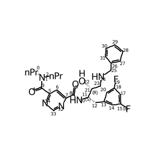 CCCN(CCC)C(=O)c1cc(C(=O)N[C@@H](Cc2cc(F)cc(F)c2)[C@H](O)CNCc2ccccc2)ncn1